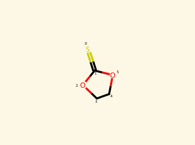 S=C1O[CH]CO1